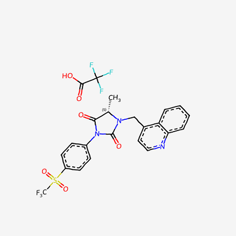 C[C@H]1C(=O)N(c2ccc(S(=O)(=O)C(F)(F)F)cc2)C(=O)N1Cc1ccnc2ccccc12.O=C(O)C(F)(F)F